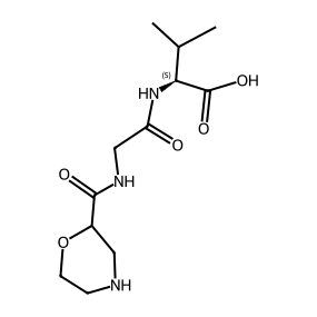 CC(C)[C@H](NC(=O)CNC(=O)C1CNCCO1)C(=O)O